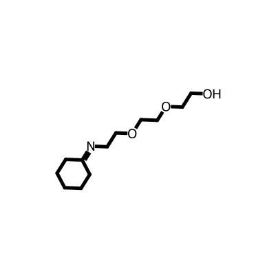 OCCOCCOCCN=C1CCCCC1